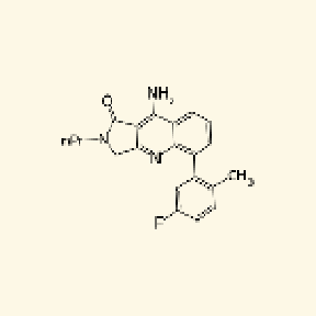 CCCN1Cc2nc3c(-c4cc(F)ccc4C)cccc3c(N)c2C1=O